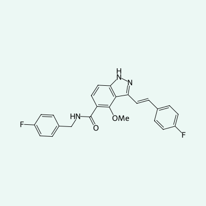 COc1c(C(=O)NCc2ccc(F)cc2)ccc2[nH]nc(C=Cc3ccc(F)cc3)c12